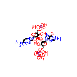 Nc1ccn([C@@H]2O[C@H](COP(=O)(O)O)[C@@H](O)[C@H]2O)c(=O)n1.O=c1[nH]cnc2c1ncn2[C@@H]1O[C@H](COP(=O)(O)O)[C@@H](O)[C@H]1O